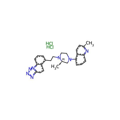 Cc1ccc2c(N3CCN(CCc4cccc5c4ccc4nnnn45)[C@H](C)C3)cccc2n1.Cl.Cl